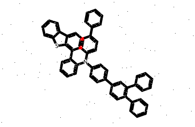 c1ccc(-c2ccc(N(c3ccc(-c4ccc(-c5ccccc5)c(-c5ccccc5)c4)cc3)c3ccccc3-c3cccc4c3sc3ccccc34)cc2)cc1